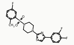 Cc1ccc(F)cc1S(=O)(=O)N1CCN(c2nc(-c3ccc(F)c(F)c3)cs2)CC1